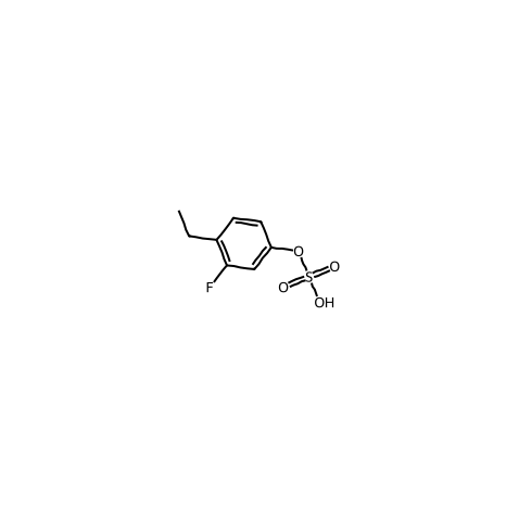 CCc1ccc(OS(=O)(=O)O)cc1F